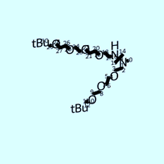 CN(CCOCCOCCOCC(C)(C)C)C(C)(C)NCCOCCOCCOCCOCC(C)(C)C